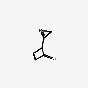 O=C1CCC1C1=NC1